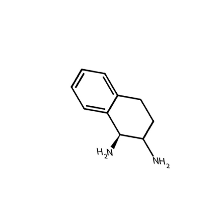 NC1CCc2ccccc2[C@@H]1N